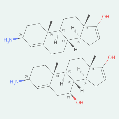 C[C@]12CC[C@H](N)C=C1CC[C@@H]1[C@@H]2CC[C@]2(C)C(O)=CC[C@@H]12.C[C@]12CC[C@H](N)C=C1C[C@H](O)[C@@H]1[C@@H]2CC[C@]2(C)C(O)=CC[C@@H]12